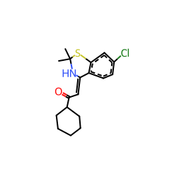 CC1(C)N/C(=C\C(=O)C2CCCCC2)c2ccc(Cl)cc2S1